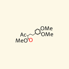 COC(=O)C(CCc1ccc(OC)c(OC)c1)C(C)=O